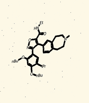 CCCCOc1cc(OCCCC)c(C(C)C)cc1-c1noc(C(=O)NCC)c1-c1ccc2c(c1)CCN(C)CC2